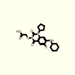 O=C(O)COn1c(=O)c2cc(F)c(NC3CCCCC3)cc2n(C2CCCC2)c1=O